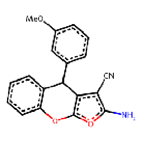 COc1cccc(C2c3ccccc3Oc3oc(N)c(C#N)c32)c1